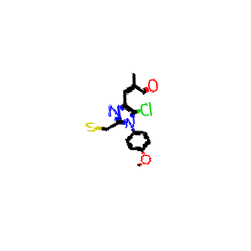 COc1ccc(-n2c(C=S)nc(C=C(C)C=O)c2Cl)cc1